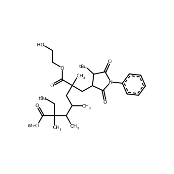 COC(=O)C(C)(CC(C)(C)C)C(C)C(C)CC(C)(CC1C(=O)N(c2ccccc2)C(=O)C1C(C)(C)C)C(=O)OCCO